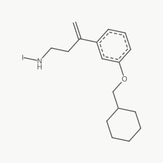 C=C(CCNI)c1cccc(OCC2CCCCC2)c1